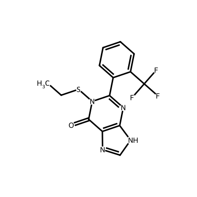 CCSn1c(-c2ccccc2C(F)(F)F)nc2[nH]cnc2c1=O